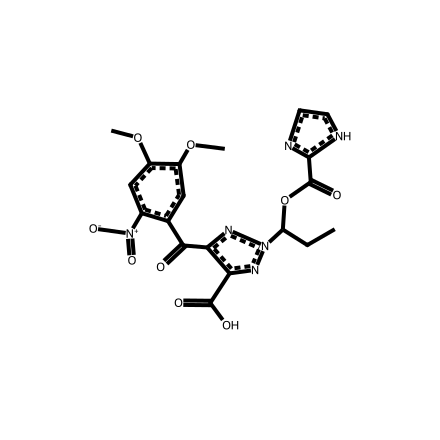 CCC(OC(=O)c1ncc[nH]1)n1nc(C(=O)O)c(C(=O)c2cc(OC)c(OC)cc2[N+](=O)[O-])n1